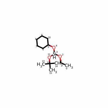 CCO[SiH](OC1CCCCC1)OC(C)(C)C